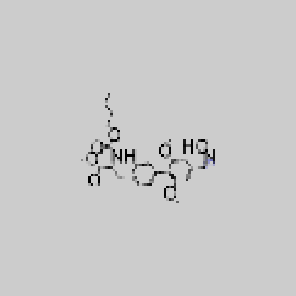 CCCCOC(=O)NC(Cc1ccc(-c2c(OC)cc(/C=N\O)cc2OC)cc1)C(=O)OC